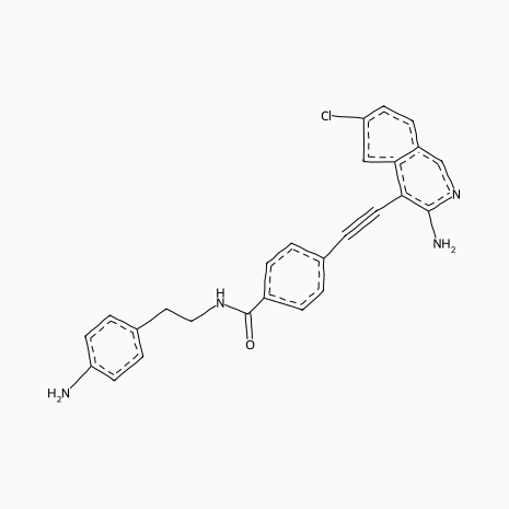 Nc1ccc(CCNC(=O)c2ccc(C#Cc3c(N)ncc4ccc(Cl)cc34)cc2)cc1